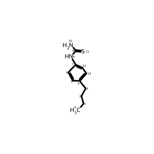 CCCCc1ccc(NC(N)=S)cc1